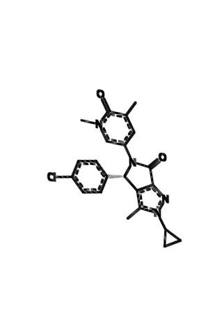 Cc1cc(N2C(=O)c3nn(C4CC4)c(C)c3[C@@H]2c2ccc(Cl)cc2)cn(C)c1=O